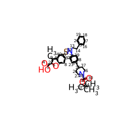 Cc1c(C(=O)O)oc2ccc(SN(CCc3ccccc3)c3ccc(C4CCN(C(=O)OC(C)(C)C)CC4)cc3)cc12